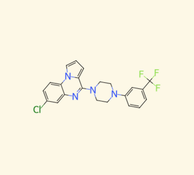 FC(F)(F)c1cccc(N2CCN(c3nc4cc(Cl)ccc4n4cccc34)CC2)c1